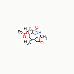 C=C1CC(OC(=O)CC)C2C(=C)C(=O)NC2C2C(C)C(=O)CC12